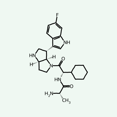 C[C@H](N)C(=O)N[C@H](C(=O)N1CC[C@H]2NC[C@H](c3c[nH]c4cc(F)ccc34)[C@H]21)C1CCCCC1